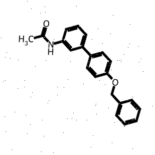 CC(=O)Nc1cccc(-c2ccc(OCc3c[c]ccc3)cc2)c1